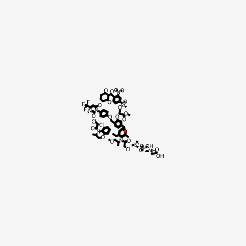 CC1COc2ccccc2N1C(=O)C(Cl)Cl.CCc1ccc(COc2ccc(-n3c(=O)cc(C(F)(F)F)n(C)c3=O)cc2)c(OC(C)C(=O)OC)c1.CCc1cccc(C)c1N(C(=O)CCl)C(C)COC.CS(=O)(=O)c1ccc(C(=O)C2C(=O)CCCC2=O)c([N+](=O)[O-])c1.C[S+](C)C.O=C(O)CNCP(=O)([O-])O